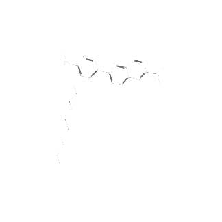 CNc1ncc(-c2ccc3cc(N(C)C)ccc3n2)cc1OCCOCCOCCF